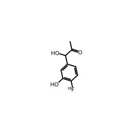 CC(=O)C(O)c1ccc([18F])c(O)c1